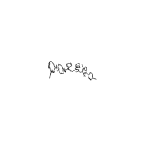 Cc1ccc(-c2nc(C[S+]([O-])CC(=O)N3CCN(c4cccc(C)c4)CC3)c(C)o2)cc1